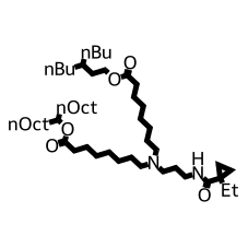 CCCCCCCCC(CCCCCCCC)OC(=O)CCCCCCCN(CCCCCCCC(=O)OCCC(CCCC)CCCC)CCCNC(=O)C1(CC)CC1